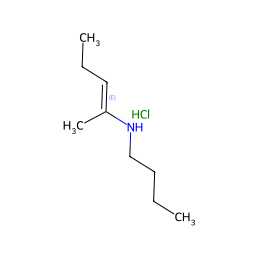 CC/C=C(\C)NCCCC.Cl